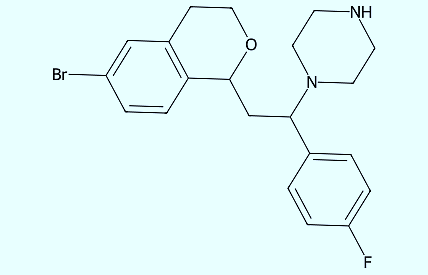 Fc1ccc(C(CC2OCCc3cc(Br)ccc32)N2CCNCC2)cc1